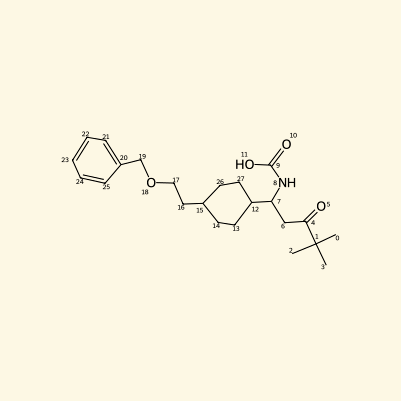 CC(C)(C)C(=O)CC(NC(=O)O)C1CCC(CCOCc2ccccc2)CC1